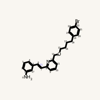 Nc1cccc(/C=C/c2cccc(COCCCCc3ccc(Br)cc3)n2)c1